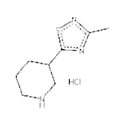 Cc1nsc(C2CCCNC2)n1.Cl